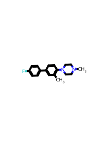 Cc1cc(-c2ccc(F)cc2)ccc1N1CCN(C)CC1